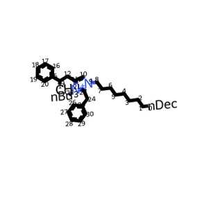 CCCCCCCCCCCCCCCCCCn1cc(CC(C)c2ccccc2)[n+](CCCC)c1Cc1ccccc1